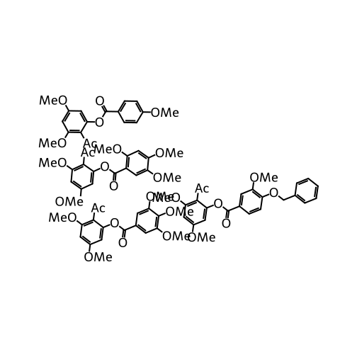 COc1cc(OC)c(C(C)=O)c(OC(=O)c2cc(OC)c(OC)c(OC)c2)c1.COc1cc(OC)c(C(C)=O)c(OC(=O)c2cc(OC)c(OC)cc2OC)c1.COc1cc(OC)c(C(C)=O)c(OC(=O)c2ccc(OCc3ccccc3)c(OC)c2)c1.COc1ccc(C(=O)Oc2cc(OC)cc(OC)c2C(C)=O)cc1